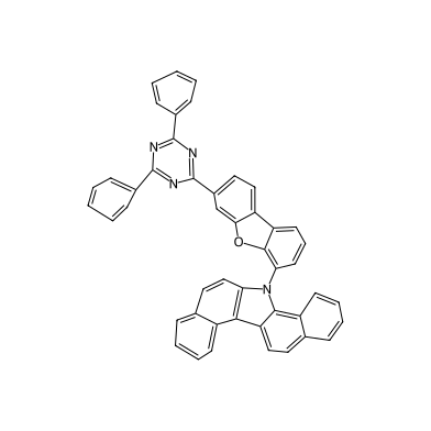 c1ccc(-c2nc(-c3ccccc3)nc(-c3ccc4c(c3)oc3c(-n5c6ccc7ccccc7c6c6ccc7ccccc7c65)cccc34)n2)cc1